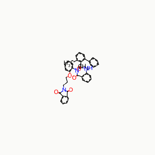 Cc1cccc(-c2ccccc2)c1C(=O)Nc1ccccc1C(=O)N(C)c1ccccc1OCCCN1C(=O)c2ccccc2C1=O